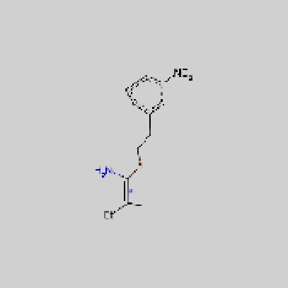 CC/C(C)=C(\N)SCCc1cccc([N+](=O)[O-])c1